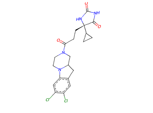 O=C1NC(=O)[C@](CCC(=O)N2CCN3c4cc(Cl)c(Cl)cc4CC3C2)(C2CC2)N1